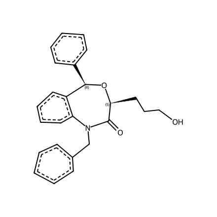 O=C1[C@H](CCCO)O[C@H](c2ccccc2)c2ccccc2N1Cc1ccccc1